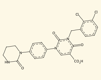 O=C(O)c1cn(-c2ccc(N3CCCNC3=O)cc2)c(=O)n(Cc2cccc(Cl)c2Cl)c1=O